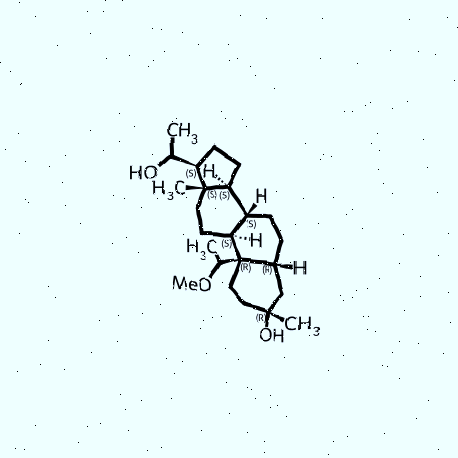 COC(C)[C@]12CC[C@@](C)(O)C[C@H]1CC[C@H]1[C@@H]3CC[C@H](C(C)O)[C@@]3(C)CC[C@@H]12